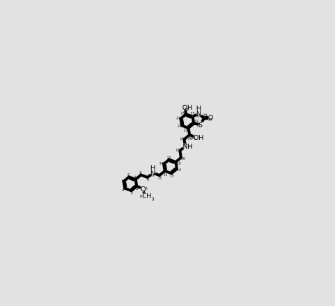 COc1ccccc1CCNCc1ccc(CCNCC(O)c2ccc(O)c3[nH]c(=O)sc23)cc1